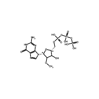 COC1C(O)[C@@H](COP(=O)(O)OP(=O)(O)OP(=O)(O)O)O[C@H]1n1cnc2c(=O)[nH]c(N)nc21